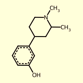 CC1CC(c2cccc(O)c2)CCN1C